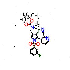 CN(Cc1cn(S(=O)(=O)c2cccc(F)c2)c(-c2cccnc2C#N)c1F)C(=O)OC(C)(C)C